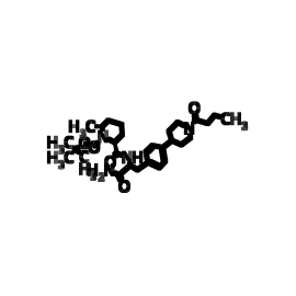 CCCC(=O)N1CCC(c2ccc(CC(NC(=O)[C@@H]3CCC[C@H](C)N3OOC(C)(C)C)C(N)=O)cc2)CC1